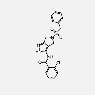 O=C(Nc1[nH]nc2c1CN(S(=O)(=O)Cc1ccccc1)C2)c1ccccc1Cl